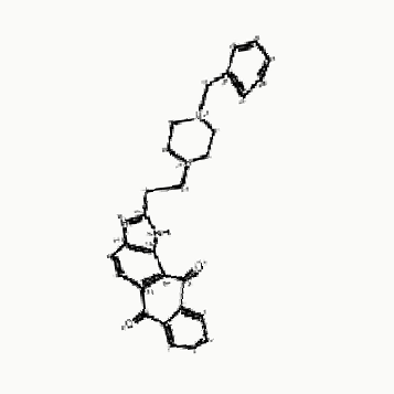 O=C1c2ccccc2C(=O)c2c1ccc1nc(CCN3CCN(Cc4ccccc4)CC3)[nH]c21